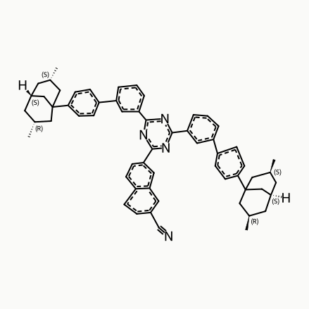 C[C@@H]1C[C@@H]2C[C@H](C)CC(c3ccc(-c4cccc(-c5nc(-c6cccc(-c7ccc(C89C[C@H](C)C[C@H](C[C@H](C)C8)C9)cc7)c6)nc(-c6ccc7ccc(C#N)cc7c6)n5)c4)cc3)(C1)C2